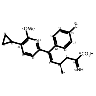 COc1nc(C(=C[C@H](C)CC(=N)C(=O)O)c2ccc(Cl)cc2)ccc1C1CC1